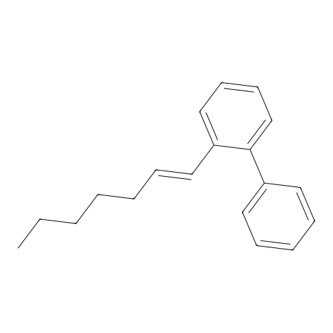 CCCCC/C=C/c1ccccc1-c1ccccc1